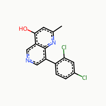 Cc1cc(O)c2cncc(-c3ccc(Cl)cc3Cl)c2n1